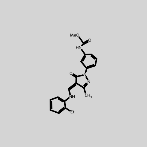 CCc1ccccc1NC=C1C(=O)N(c2cccc(NC(=O)OC)c2)N=C1C